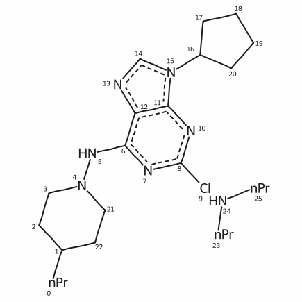 CCCC1CCN(Nc2nc(Cl)nc3c2ncn3C2CCCC2)CC1.CCCNCCC